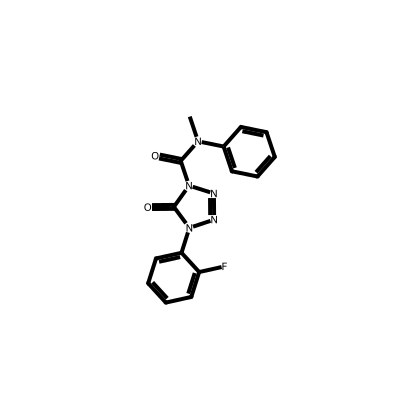 CN(C(=O)n1nnn(-c2ccccc2F)c1=O)c1ccccc1